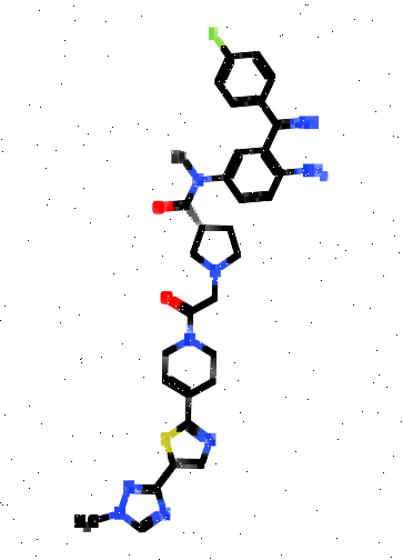 CCN(C(=O)[C@@H]1CCN(CC(=O)N2CC=C(c3ncc(-c4ncn(C)n4)s3)CC2)C1)c1ccc(N)c(C(=N)c2ccc(F)cc2)c1